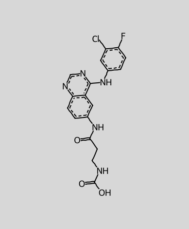 O=C(O)NCCC(=O)Nc1ccc2ncnc(Nc3ccc(F)c(Cl)c3)c2c1